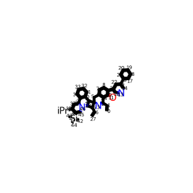 C=CC1=NC2(Cc3ccc4c(oc5ncc(-c6ccccc6)cc54)c31)C(C=C)C1C2c2ccccc2-c2cc(C(C)C)c([Si](C)(C)C)c[n+]21